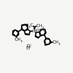 C[C](C)=[Hf+2]([CH]1C=Cc2c(-c3cccc(C)c3)cccc21)[CH]1C=Cc2c(-c3cccc(C)c3)cccc21.[Cl-].[Cl-]